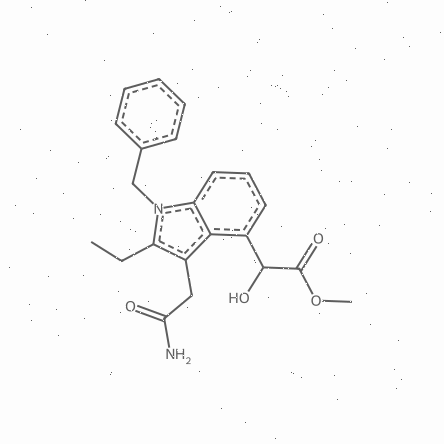 CCc1c(CC(N)=O)c2c(C(O)C(=O)OC)cccc2n1Cc1ccccc1